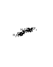 CC(NC(=O)Cc1ccc(C(C)(F)F)cc1)c1cc2cnn(CC(F)(F)F)c2cn1